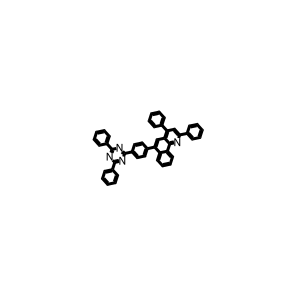 c1ccc(-c2cc(-c3ccccc3)c3cc(-c4ccc(-c5nc(-c6ccccc6)nc(-c6ccccc6)n5)cc4)c4ccccc4c3n2)cc1